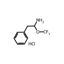 Cl.NC(Cc1ccccc1)OC(F)(F)F